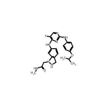 CNC(=O)CN1NCc2ccc(Nc3nc(Nc4ccc(OC(C)C)cc4)ncc3F)cc21